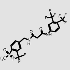 CS(=O)(=O)c1ccc(CNC(=O)CC(=O)Nc2ccc(C(F)(F)F)c(C(F)(F)F)c2)cc1C(F)(F)F